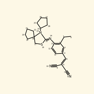 CCc1cc(C=C(C#N)C#N)ccc1N=C1SCC2(CCCC2)N1C1CCCC1